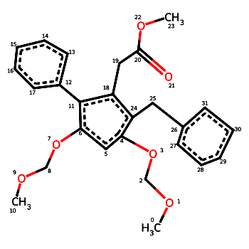 COCOc1cc(OCOC)c(-c2ccccc2)c(CC(=O)OC)c1Cc1ccccc1